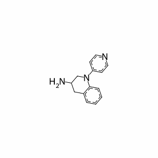 NC1Cc2ccccc2N(c2ccncc2)C1